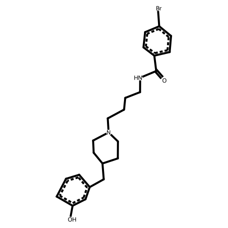 O=C(NCCCCN1CCC(Cc2cccc(O)c2)CC1)c1ccc(Br)cc1